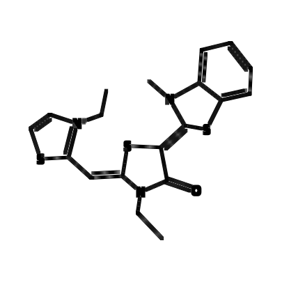 CCn1c(=O)/c(=C2\Sc3ccccc3N2C)s/c1=C\c1scc[n+]1CC